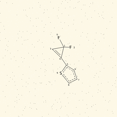 FC1(F)C=C1c1cccs1